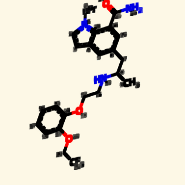 [CH2]CCn1ccc2cc(CC(C)NCCOc3ccccc3OCC(F)(F)F)cc(C(N)=O)c21